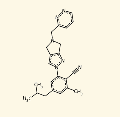 Cc1cc(CC(C)C)cc(-n2cc3c(n2)CN(Cc2cccnn2)C3)c1C#N